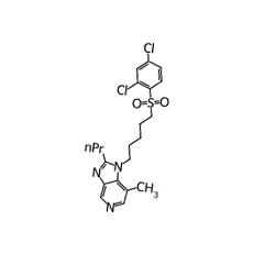 CCCc1nc2cncc(C)c2n1CCCCCS(=O)(=O)c1ccc(Cl)cc1Cl